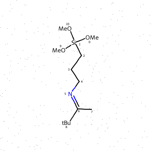 CO[Si](CCCN=C(C)C(C)(C)C)(OC)OC